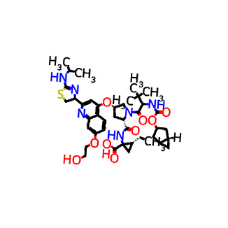 CC[C@@H]1CC1(NC(=O)[C@@H]1C[C@H](Oc2cc(C3CSC(NC(C)C)=N3)nc3cc(OCCO)ccc23)CN1C(=O)C(NC(=O)OC1CC2C[C@H]2C1)C(C)(C)C)C(=O)O